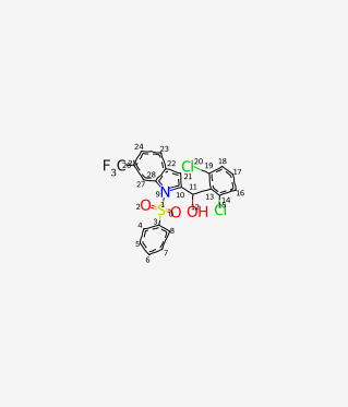 O=S(=O)(c1ccccc1)n1c(C(O)c2c(Cl)[c]ccc2Cl)cc2ccc(C(F)(F)F)cc21